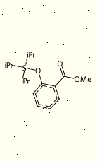 COC(=O)c1ccccc1O[Si](C(C)C)(C(C)C)C(C)C